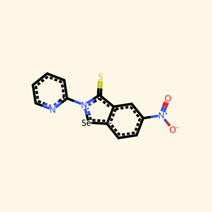 O=[N+]([O-])c1ccc2[se]n(-c3ccccn3)c(=S)c2c1